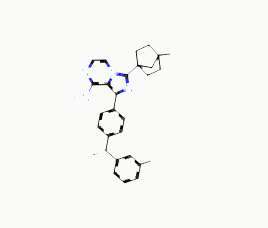 C[C@@H](c1ccc(-c2nc(C34CCC(C(=O)O)(CC3)C4)n3ccnc(N)c23)cc1)c1cccc(C(F)(F)F)c1